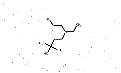 CCN(CCO)CCC(C)(C)O